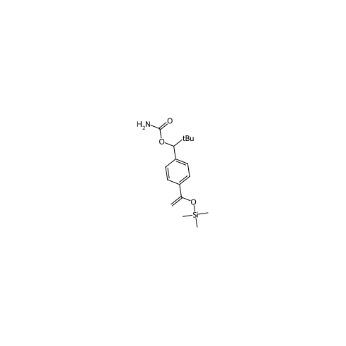 C=C(O[Si](C)(C)C)c1ccc(C(OC(N)=O)C(C)(C)C)cc1